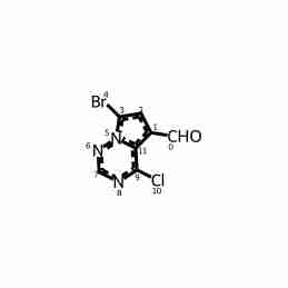 O=Cc1cc(Br)n2ncnc(Cl)c12